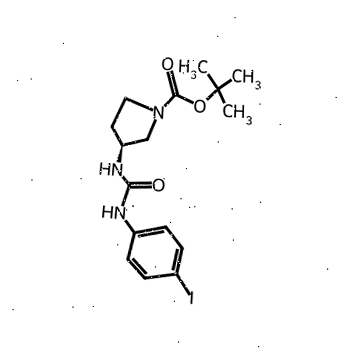 CC(C)(C)OC(=O)N1CC[C@H](NC(=O)Nc2ccc(I)cc2)C1